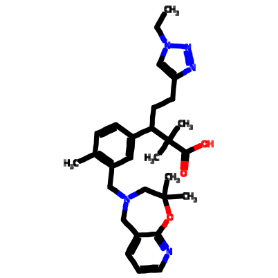 CCn1cc(CCC(c2ccc(C)c(CN3Cc4cccnc4OC(C)(C)C3)c2)C(C)(C)C(=O)O)nn1